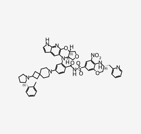 Cc1ccccc1[C@@H]1CCCN1C1CC2(CCN(c3ccc(C(=O)NS(=O)(=O)c4cc5c(c([N+](=O)[O-])c4)N[C@H](Cc4ccccn4)CO5)c(N4c5cc6cc[nH]c6nc5O[C@@H]5COC[C@H]54)c3)CC2)C1